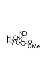 COC(=O)c1ccc2c(c1)C(c1ccccn1)=NC(C)(C)O2